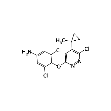 CC1(c2cc(Oc3c(Cl)cc(N)cc3Cl)nnc2Cl)CC1